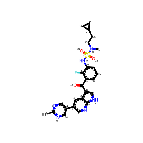 CC(C)c1ncc(-c2cnc3[nH]cc(C(=O)c4cccc(NS(=O)(=O)N(C)CCC5CC5)c4F)c3c2)cn1